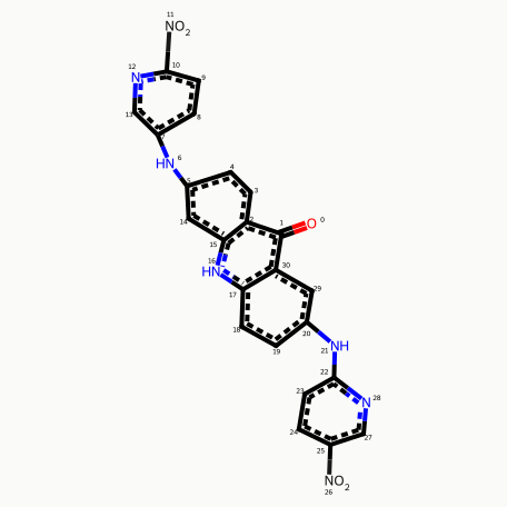 O=c1c2ccc(Nc3ccc([N+](=O)[O-])nc3)cc2[nH]c2ccc(Nc3ccc([N+](=O)[O-])cn3)cc12